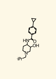 C[C](C)CN1CCC(NC(=O)c2ccc(C3CC3)cc2)C(O)C1